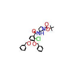 CC(C)(C)OC(=O)N1CCC(NC(=O)c2ccc(OCc3ccccc3)c(OCc3ccccc3)c2Cl)C1